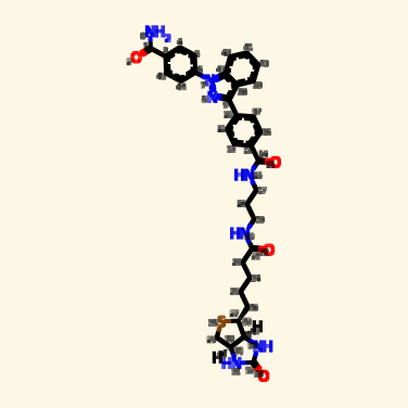 NC(=O)c1ccc(-n2nc(-c3ccc(C(=O)NCCCNC(=O)CCCC[C@@H]4SC[C@@H]5NC(=O)N[C@@H]54)cc3)c3ccccc32)cc1